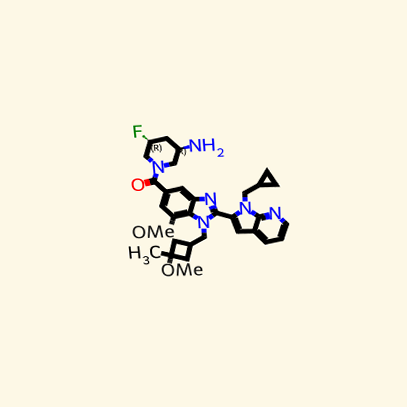 COc1cc(C(=O)N2C[C@H](N)C[C@@H](F)C2)cc2nc(-c3cc4cccnc4n3CC3CC3)n(CC3CC(C)(OC)C3)c12